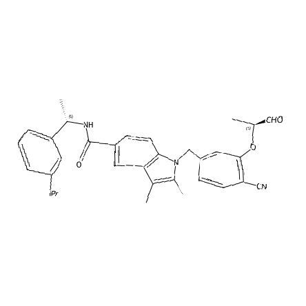 Cc1c(C)n(Cc2ccc(C#N)c(O[C@@H](C)C=O)c2)c2ccc(C(=O)N[C@@H](C)c3cccc(C(C)C)c3)cc12